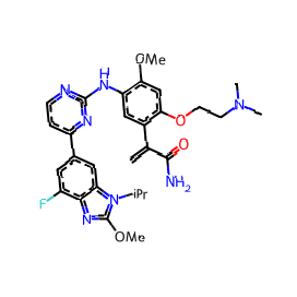 C=C(C(N)=O)c1cc(Nc2nccc(-c3cc(F)c4nc(OC)n(C(C)C)c4c3)n2)c(OC)cc1OCCN(C)C